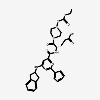 CCOC(=O)ON1CCN(C(=O)[C@H](CCC(=O)O)NC(=O)c2cc(NC3Cc4ccccc4C3)nc(-c3ccccc3)n2)CC1